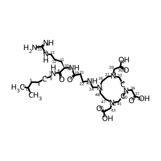 CC(C)CCCCNC(=O)[C@@H](CCCNC(=N)N)NC(=O)CCNCN1CCN(CC(=O)O)CCN(CC(=O)O)CCN(CC(=O)O)CC1